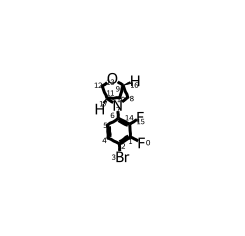 Fc1c(Br)ccc(N2C[C@@H]3C[C@H]2CO3)c1F